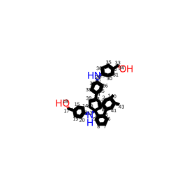 Cc1ccc(-c2ccccc2C2(Nc3ccc(CO)cc3)C=CC(c3ccc(Nc4ccc(CO)cc4)cc3)=CC2)cc1C